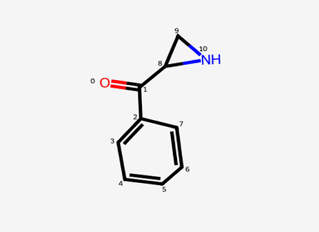 O=C(c1ccccc1)C1CN1